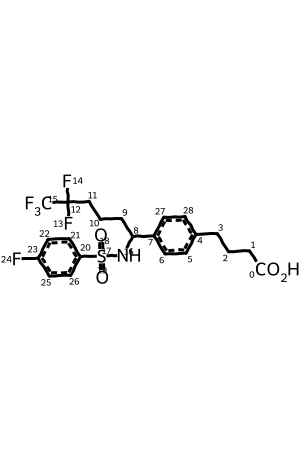 O=C(O)CCCc1ccc(C(CCCC(F)(F)C(F)(F)F)NS(=O)(=O)c2ccc(F)cc2)cc1